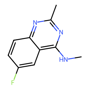 CNc1nc(C)nc2ccc(F)cc12